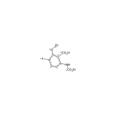 CCOC(=O)Nc1ccc(F)c(OCC)c1C(=O)O